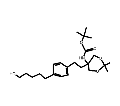 CC(C)(C)OC(=O)NC1(CCc2ccc(CCCCCO)cc2)COC(C)(C)OC1